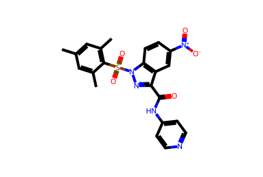 Cc1cc(C)c(S(=O)(=O)n2nc(C(=O)Nc3ccncc3)c3cc([N+](=O)[O-])ccc32)c(C)c1